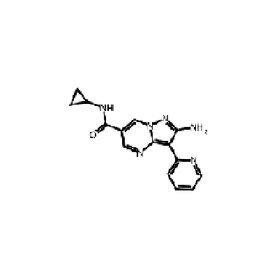 Nc1nn2cc(C(=O)NC3CC3)cnc2c1-c1ccccn1